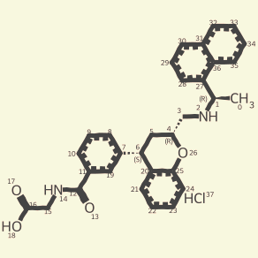 C[C@@H](NC[C@H]1C[C@@H](c2cccc(C(=O)NCC(=O)O)c2)c2ccccc2O1)c1cccc2ccccc12.Cl